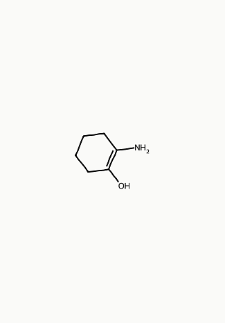 NC1=C(O)CCCC1